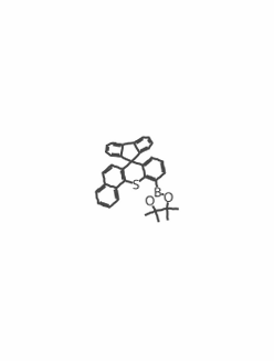 CC1(C)OB(c2cccc3c2Sc2c(ccc4ccccc24)C32c3ccccc3-c3ccccc32)OC1(C)C